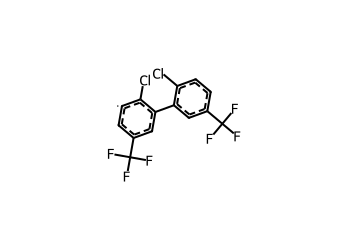 FC(F)(F)c1c[c]c(Cl)c(-c2cc(C(F)(F)F)ccc2Cl)c1